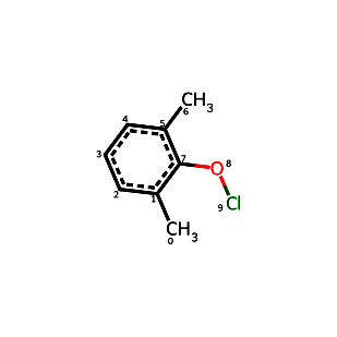 Cc1cccc(C)c1OCl